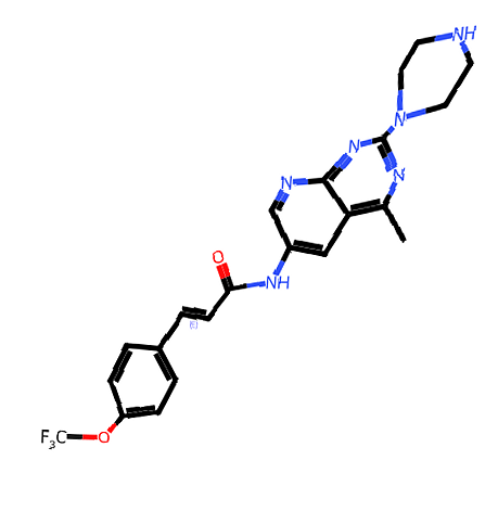 Cc1nc(N2CCNCC2)nc2ncc(NC(=O)/C=C/c3ccc(OC(F)(F)F)cc3)cc12